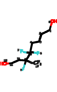 OCCCCC(F)(F)C(F)(CCO)C(F)(F)F